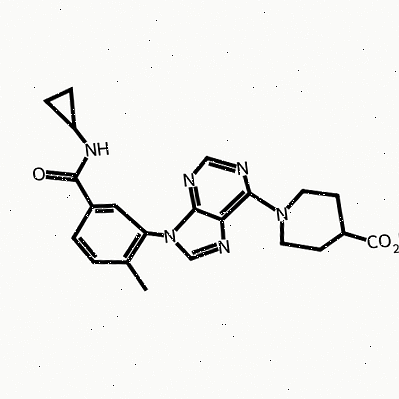 CCOC(=O)C1CCN(c2ncnc3c2ncn3-c2cc(C(=O)NC3CC3)ccc2C)CC1